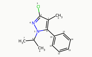 Cc1c(Cl)nn(C(C)C)c1-c1ccccc1